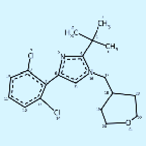 CC(C)(C)c1nc(-c2c(Cl)cccc2Cl)cn1CC1CCOCC1